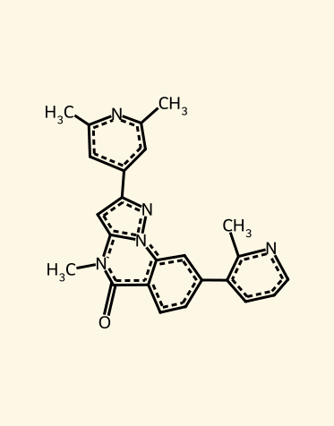 Cc1cc(-c2cc3n(C)c(=O)c4ccc(-c5cccnc5C)cc4n3n2)cc(C)n1